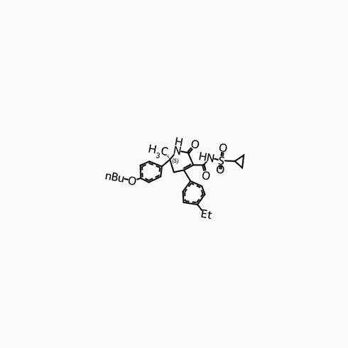 CCCCOc1ccc([C@]2(C)CC(c3ccc(CC)cc3)=C(C(=O)NS(=O)(=O)C3CC3)C(=O)N2)cc1